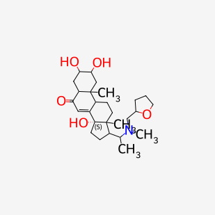 CC(C1CC[C@@]2(O)C3=CC(=O)C4CC(O)C(O)CC4(C)C3CCC12C)N(C)CC1CCCO1